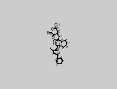 Cc1cc(-c2ccccc2)sc1C(=O)N1CCCCC1C(=O)NC(CC(=O)O)C(=O)CF